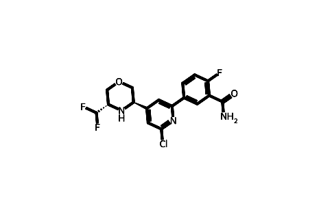 NC(=O)c1cc(-c2cc([C@@H]3COC[C@@H](C(F)F)N3)cc(Cl)n2)ccc1F